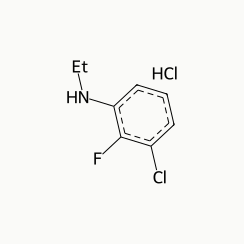 CCNc1cccc(Cl)c1F.Cl